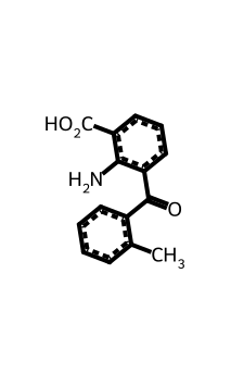 Cc1ccccc1C(=O)c1cccc(C(=O)O)c1N